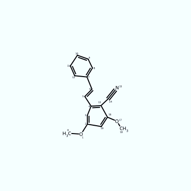 COc1cc(C=Cc2ccccc2)c(C#N)c(OC)c1